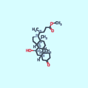 COC(=O)CC[C@@H](C)[C@H]1CC[C@H]2[C@@H]3[C@H](O)C[C@H]4CC(=O)CC[C@]4(C)[C@H]3CC[C@]12C